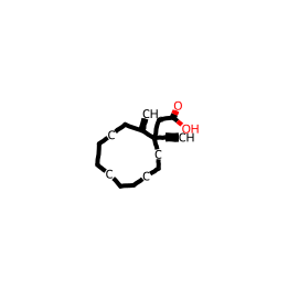 C#CC1(CC(=O)O)CCCCCCCCCCC1=C